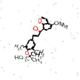 COc1ccc(C(=O)C=Cc2cc(C)c(OC(C)(C)C(=O)O)c(C)c2)c2occc12